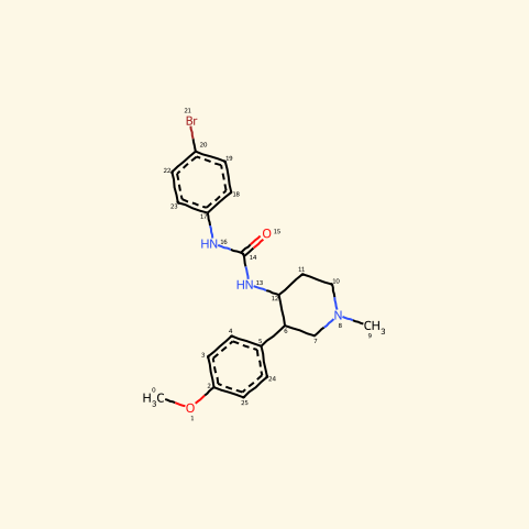 COc1ccc(C2CN(C)CCC2NC(=O)Nc2ccc(Br)cc2)cc1